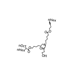 CCCCCCC#CCCOC(=O)CCCCCN(CCCCO)CC(O)CCCCOC(=O)C(CCCCCC)CCCCCCCC